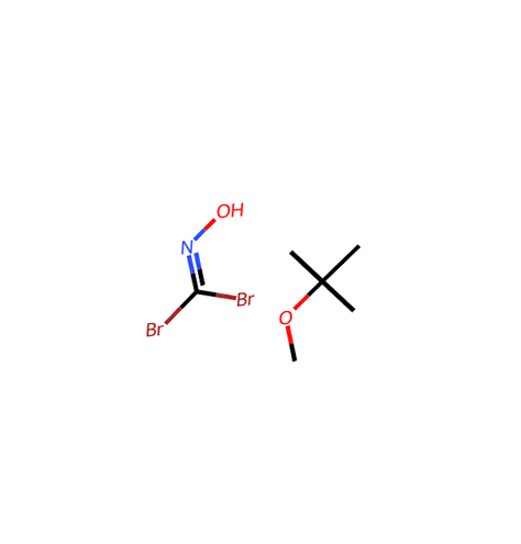 COC(C)(C)C.ON=C(Br)Br